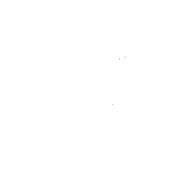 CN(CC(=O)NC1=CC=CC(C(=O)O)C1)Cc1ccccc1F